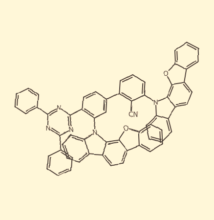 N#Cc1c(-c2ccc(-c3nc(-c4ccccc4)nc(-c4ccccc4)n3)c(-n3c4ccccc4c4ccc5c6ccccc6oc5c43)c2)cccc1-n1c2ccccc2c2ccc3c4ccccc4oc3c21